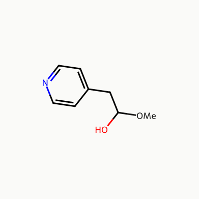 COC(O)Cc1ccncc1